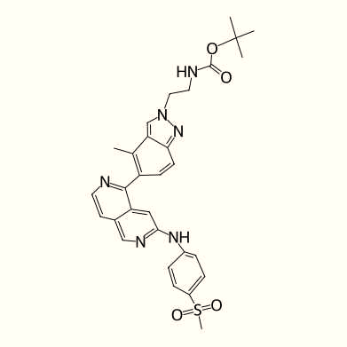 Cc1c(-c2nccc3cnc(Nc4ccc(S(C)(=O)=O)cc4)cc23)ccc2nn(CCNC(=O)OC(C)(C)C)cc12